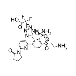 NCCS(=O)(=O)c1ccc(-c2cccc(N3CCCC3=O)n2)c(-c2nnn[nH]2)c1S(N)(=O)=O.O=C(O)C(F)(F)F